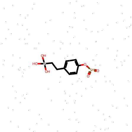 O=[SH](=O)Oc1ccc(CC[Si](O)(O)O)cc1